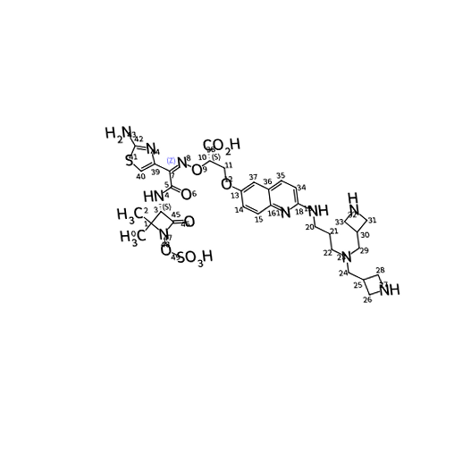 CC1(C)[C@H](NC(=O)/C(=N\O[C@@H](COc2ccc3nc(NCCCN(CC4CNC4)CC4CNC4)ccc3c2)C(=O)O)c2csc(N)n2)C(=O)N1OS(=O)(=O)O